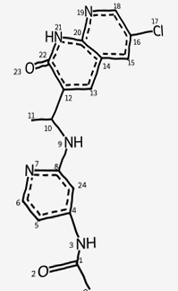 CC(=O)Nc1ccnc(NC(C)c2cc3cc(Cl)cnc3[nH]c2=O)c1